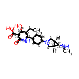 CCc1c(-c2ccc(N3C[C@@H]4[C@H](C3)[C@@H]4NC)cc2)[nH]c(=O)c(C(=O)O)c1O